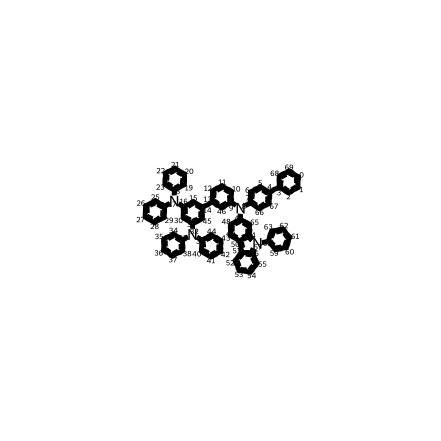 c1ccc(-c2ccc(N(c3cccc(-c4cc(N(c5ccccc5)c5ccccc5)cc(N(c5ccccc5)c5ccccc5)c4)c3)c3ccc4c5ccccc5n(-c5ccccc5)c4c3)cc2)cc1